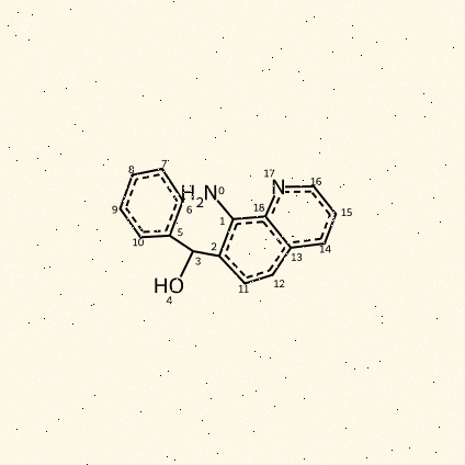 Nc1c(C(O)c2ccccc2)ccc2cccnc12